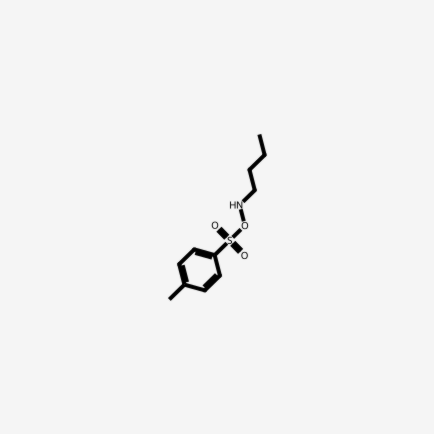 CCCCNOS(=O)(=O)c1ccc(C)cc1